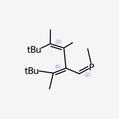 C\P=C/C(C(/C)=C(/C)C(C)(C)C)=C(\C)C(C)(C)C